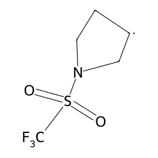 O=S(=O)(N1C[CH]CC1)C(F)(F)F